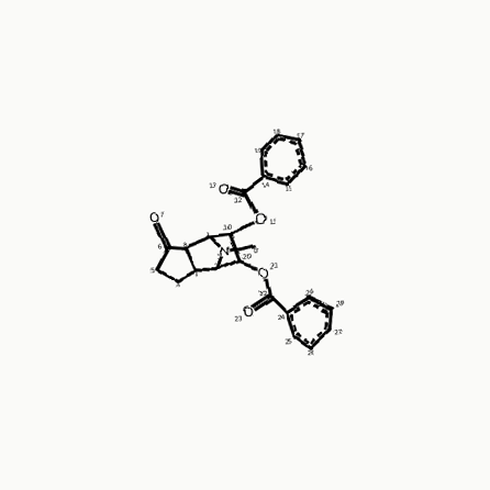 CN1C2C3CCC(=O)C3C1C(OC(=O)c1ccccc1)C2OC(=O)c1ccccc1